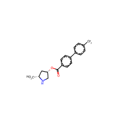 O=C(O[C@@H]1CN[C@H](C(=O)O)C1)c1ccc(-c2ccc(C(F)(F)F)cc2)cc1